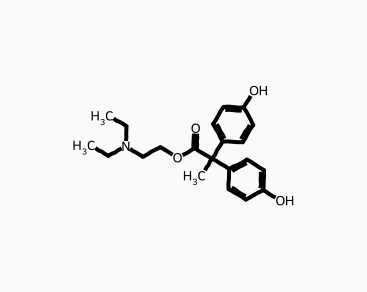 CCN(CC)CCOC(=O)C(C)(c1ccc(O)cc1)c1ccc(O)cc1